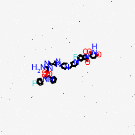 Nc1ncc(-c2cnn(C3CCN(CC4CCN(c5cc6c(cc5F)C(=O)N(C5CCC(=O)NC5=O)C6=O)CC4)CC3)c2)nc1C(=O)O[C@@H](C(=O)Nc1ccc(F)cc1)c1ccccc1